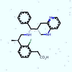 C[C@@H](CN[C@H](c1ccccc1)[C@H]1CNc2cccnc2C1)c1cccc(CC(=O)O)c1F